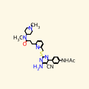 CC(=O)Nc1ccc(-c2nc(SCc3cccc(CCC(=O)N(C)C4CCN(C)CC4)n3)nc(N)c2C#N)cc1